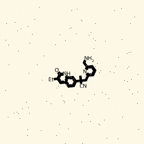 CCc1cc2ccc(C(C)(C#N)Cc3cccc(CN)n3)cc2[nH]c1=O